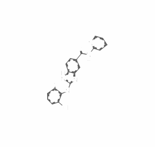 O=C(Nc1ccccn1)c1ccc2[nH]c(Nc3c(Cl)cccc3Cl)nc2c1